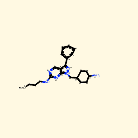 COCCCNc1ncc2c(-c3ccccc3)nn(CC3CCC(N)CC3)c2n1